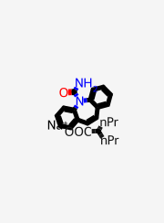 CCCC(CCC)C(=O)[O-].NC(=O)N1c2ccccc2C=Cc2ccccc21.[Na+]